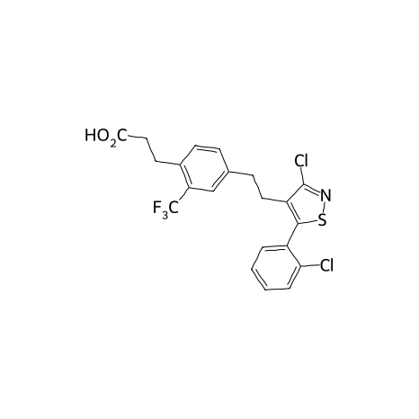 O=C(O)CCc1ccc(CCc2c(Cl)nsc2-c2ccccc2Cl)cc1C(F)(F)F